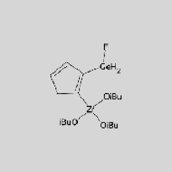 CC(C)C[O][Zr]([O]CC(C)C)([O]CC(C)C)[C]1=[C]([GeH2][F])C=CC1